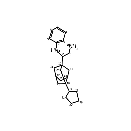 NCC(Nc1ccccc1)C12CC3CC(C1)C(C1CCCC1)(C3)C2